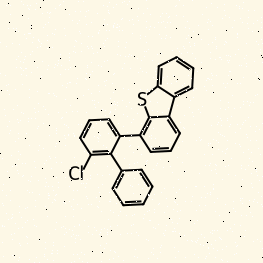 Clc1cccc(-c2cccc3c2sc2ccccc23)c1-c1ccccc1